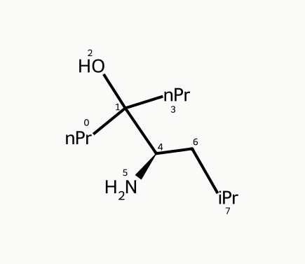 CCCC(O)(CCC)[C@H](N)CC(C)C